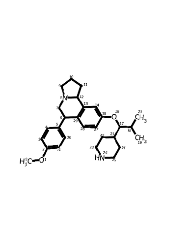 COc1ccc(C2CN3CCCC3c3cc(OC(C(C)C)C4CCNCC4)ccc32)cc1